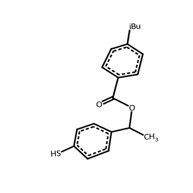 CCC(C)c1ccc(C(=O)OC(C)c2ccc(S)cc2)cc1